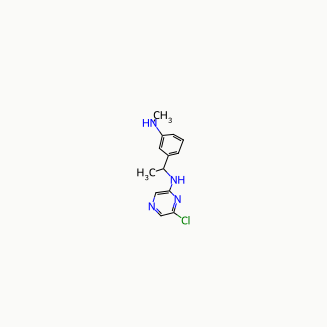 CNc1cccc(C(C)Nc2cncc(Cl)n2)c1